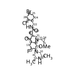 COc1c(N2CC(C)NC(C)C2)c(F)cc2c(=O)c(OC(=O)NCc3ccc(Br)cc3Cl)cn(C3CC3)c12